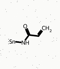 C=CC(=O)[NH][Sn]